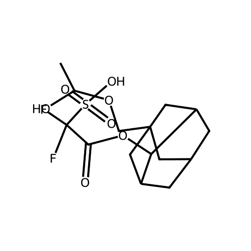 CC(O)OCC12CC3CC(C1)C(OC(=O)C(F)(F)S(=O)(=O)O)C(C3)C2